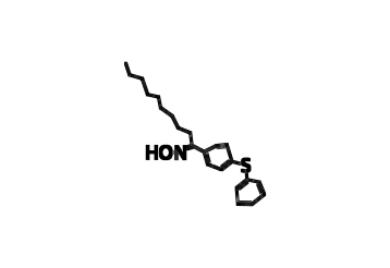 CCCCCCCCCC(=NO)c1ccc(Sc2ccccc2)cc1